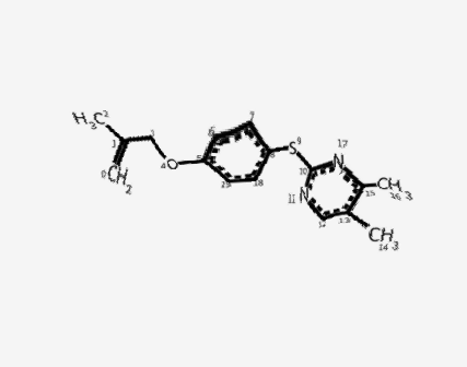 C=C(C)COc1ccc(Sc2ncc(C)c(C)n2)cc1